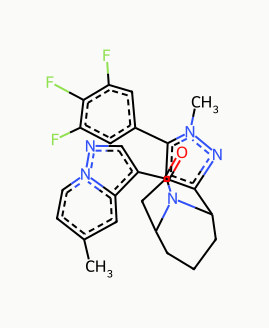 Cc1ccn2ncc(C(=O)N3C4CCCC3c3nn(C)c(-c5cc(F)c(F)c(F)c5)c3C4)c2c1